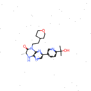 C[C@H]1Nc2ncc(-c3ccc(C(C)(C)O)nc3)nc2N(CCC2CCOCC2)C1=O